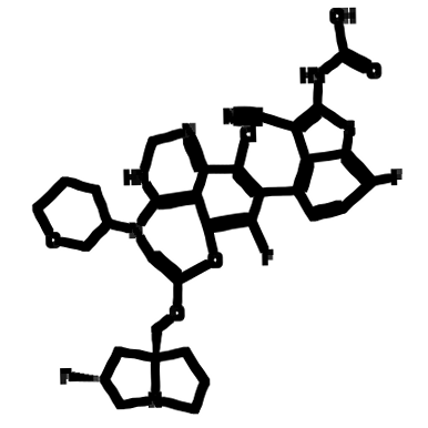 N#Cc1c(NC(=O)O)sc2c(F)ccc(-c3c(F)c4c5c(c3Cl)=NCNC=5N(C3CCCOC3)C=C(OC[C@@]35CCCN3C[C@H](F)C5)O4)c12